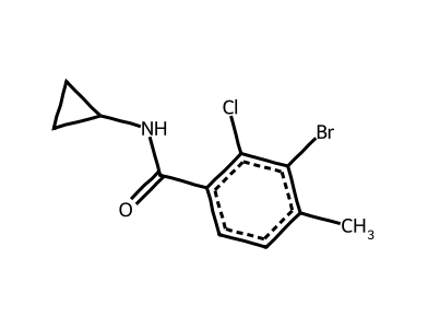 Cc1ccc(C(=O)NC2CC2)c(Cl)c1Br